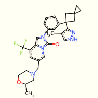 Cc1c[nH]nc1C1(c2cccc(-n3cc4c(C(F)(F)F)cc(CN5CCO[C@H](C)C5)cn4c3=O)c2)CC2(CC2)C1